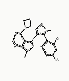 Cc1nc(-c2cnn(C)c2-c2ncc(C(F)(F)F)cc2Cl)c2c(N3CCC3)ncnn12